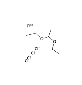 CCOC(C)OCC.[Cl-].[Cl-].[Cl-].[Cl-].[Ti+4]